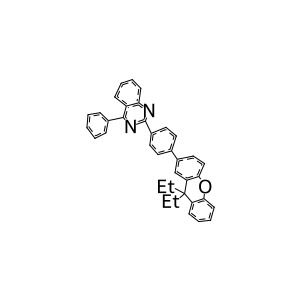 CCC1(CC)c2ccccc2Oc2ccc(-c3ccc(-c4nc(-c5ccccc5)c5ccccc5n4)cc3)cc21